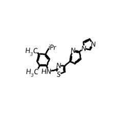 Cc1cc(C)c(C(C)C)cc1Nc1nc(-c2ccc(-n3ccnc3)nc2)cs1